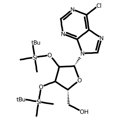 CC(C)(C)[Si](C)(C)OC1C(O[Si](C)(C)C(C)(C)C)[C@@H](CO)O[C@H]1n1cnc2c(Cl)ncnc21